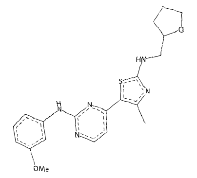 COc1cccc(Nc2nccc(-c3sc(NCC4CCCO4)nc3C)n2)c1